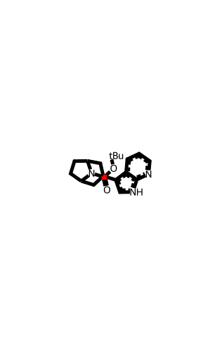 CC(C)(C)OC(=O)N1C2CCC1CC(c1c[nH]c3ncccc13)C2